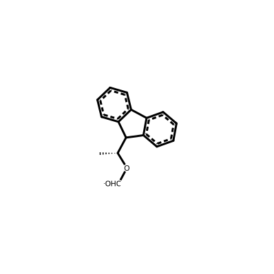 C[C@@H](O[C]=O)C1c2ccccc2-c2ccccc21